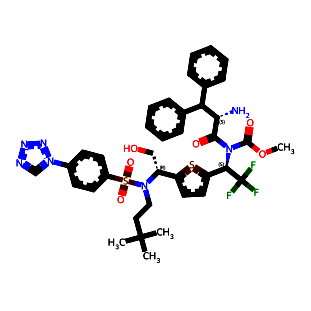 COC(=O)N(C(=O)[C@@H](N)C(c1ccccc1)c1ccccc1)[C@H](c1ccc([C@@H](CO)N(CCC(C)(C)C)S(=O)(=O)c2ccc(-n3cnnn3)cc2)s1)C(F)(F)F